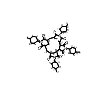 CC1CCC(N2C(=O)C3CC(CC4CC(C(=O)N(C5CCC(C)CC5)C4=O)C4C(=O)N(C5CCC(C)CC5)C(=O)C4C4CC(C3)C(=O)N(C3CCC(C)CC3)C4=O)C2=O)CC1